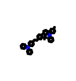 Cc1ccc2c(c1)c1ccc3c(c1n2-c1ccccc1)C(C)(C)c1cc(/C=C/c2ccc(N(c4ccccc4)c4ccccc4)cc2)ccc1-3